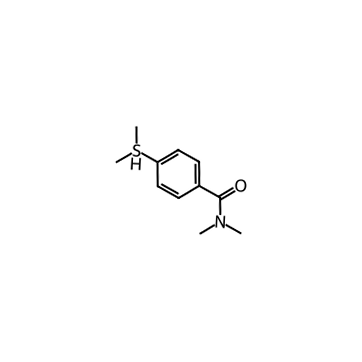 CN(C)C(=O)c1ccc([SH](C)C)cc1